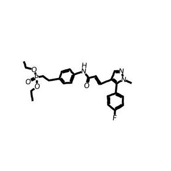 CCOP(=O)(CCc1ccc(NC(=O)C=Cc2cnn(C)c2-c2ccc(F)cc2)cc1)OCC